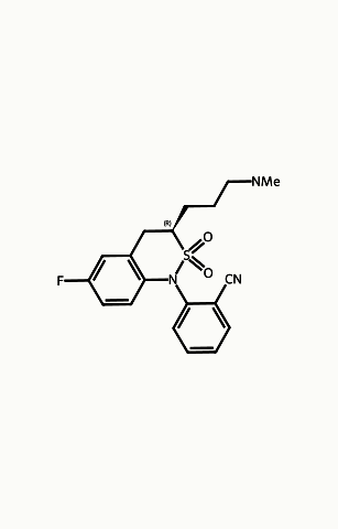 CNCCC[C@@H]1Cc2cc(F)ccc2N(c2ccccc2C#N)S1(=O)=O